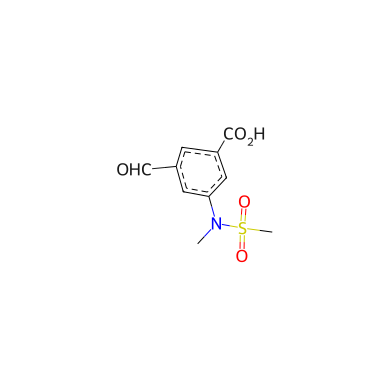 CN(c1cc(C=O)cc(C(=O)O)c1)S(C)(=O)=O